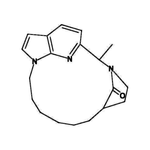 CC1c2ccc3ccn(c3n2)CCCCCCC2CCN1C2=O